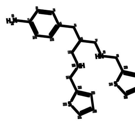 Nc1ccc(CC(CNCc2cccs2)CNCc2cccs2)cc1